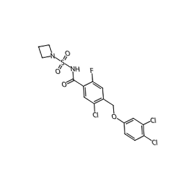 O=C(NS(=O)(=O)N1CCC1)c1cc(Cl)c(COc2ccc(Cl)c(Cl)c2)cc1F